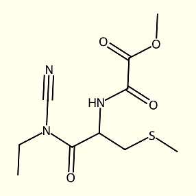 CCN(C#N)C(=O)C(CSC)NC(=O)C(=O)OC